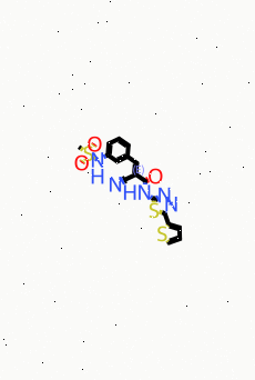 CS(=O)(=O)Nc1cccc(/C=C(\C#N)C(=O)Nc2nnc(-c3cccs3)s2)c1